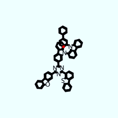 c1ccc(-c2cccc(-n3c4ccccc4c4cccc(-n5c6ccccc6c6ccc(-c7nc(-c8ccc9c(c8)oc8ccccc89)nc(-c8cccc9c8sc8ccccc89)n7)cc65)c43)c2)cc1